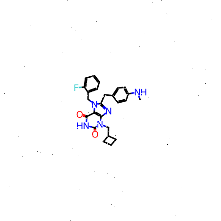 CNc1ccc(Cc2nc3c(c(=O)[nH]c(=O)n3CC3CCC3)n2Cc2ccccc2F)cc1